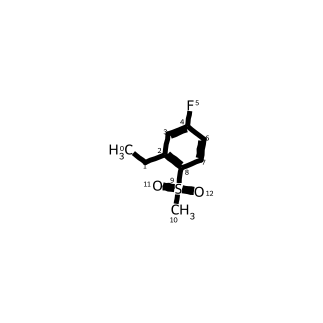 CCc1cc(F)ccc1S(C)(=O)=O